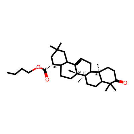 CCCCOC(=O)[C@@H]1CC(C)(C)CC2C3=CCC4[C@@]5(C)CCC(=O)C(C)(C)C5CC[C@@]4(C)[C@]3(C)CCC21